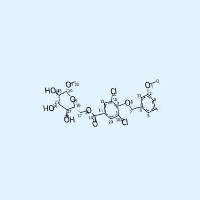 COc1cccc(COc2c(Cl)cc(C(=O)OC[C@H]3O[C@@H](OC)[C@H](O)[C@@H](O)[C@@H]3O)cc2Cl)c1